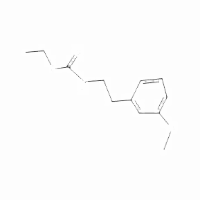 CCOC(=O)NCCc1cccc(OC)c1